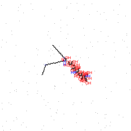 CCCCCCCC/C=C\CCCCCCCCCCCCCC(=O)N[C@@H](CO[C@@H]1OC(CO)[C@@H](O[C@@H]2OC(CO)[C@H](O[C@@H]3OC(CO)[C@H](O)[C@H](O[C@@H]4OC(CO)[C@H](O)[C@H](O[C@]5(C(=O)O)CC(O)[C@@H](NC(=O)CO)C([C@H](O)[C@H](O)CO)O5)C4O)C3NC(C)=O)[C@H](O)C2O)[C@H](O)C1O)[C@H](O)/C=C/CCCCCCCCCCCCC